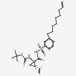 C=CCCCCCCCc1cccc(S(=O)(=O)NC(=O)[C@@]2(NC(=O)OC(C)(C)C)C[C@H]2C=C)c1